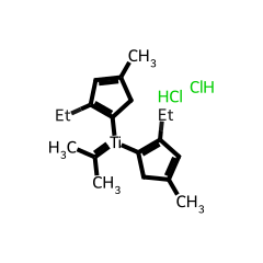 CCC1=[C]([Ti]([C]2=C(CC)C=C(C)C2)=[C](C)C)CC(C)=C1.Cl.Cl